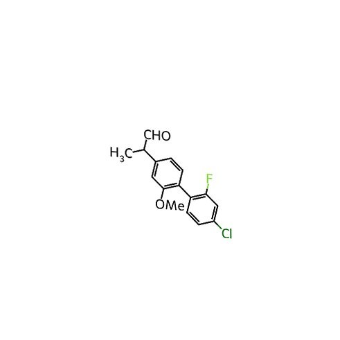 COc1cc(C(C)C=O)ccc1-c1ccc(Cl)cc1F